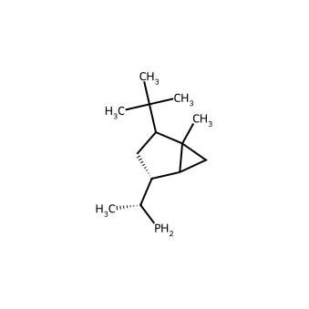 C[C@@H](P)[C@@H]1CC(C(C)(C)C)C2(C)CC12